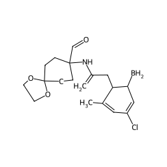 BC1C=C(Cl)C=C(C)C1CC(=C)NC1(C=O)CCC2(CC1)OCCO2